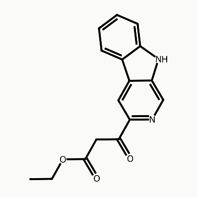 CCOC(=O)CC(=O)c1cc2c(cn1)[nH]c1ccccc12